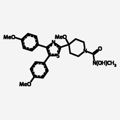 COc1ccc(-c2nc(C3(OC)CCN(C(=O)N(C)O)CC3)sc2-c2ccc(OC)cc2)cc1